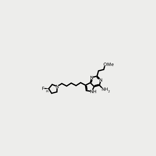 COCCc1nc(N)c2[nH]cc(CCCCCN3CC[C@@H](F)C3)c2n1